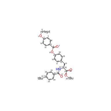 CCCCCCCOc1ccc(C(=O)Oc2ccc(C[C@H](NC(=O)c3ccc(C(C)(C)C)cc3)C(=O)OC(C)(C)C)cc2)cc1